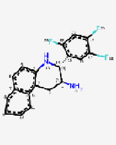 N[C@H]1Cc2c(ccc3ccccc23)N[C@@H]1c1cc(F)c(F)cc1F